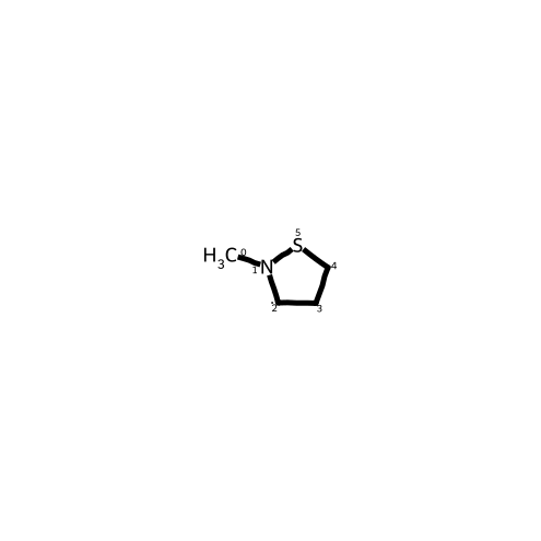 CN1[CH]CCS1